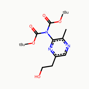 Cc1ncc(CCO)nc1N(C(=O)OC(C)(C)C)C(=O)OC(C)(C)C